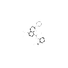 Cc1cc(C(C)Nc2ccccc2C(=O)OC(C)(C)C)c2nc(N3CCOCC3)ccc2c1C#N